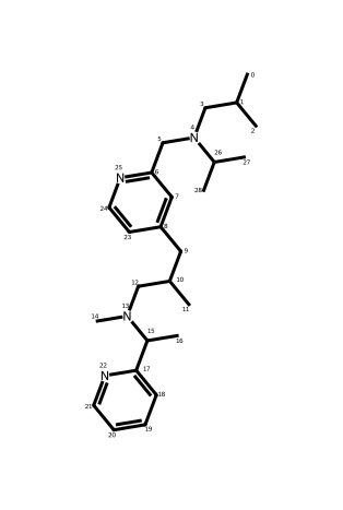 CC(C)CN(Cc1cc(CC(C)CN(C)C(C)c2ccccn2)ccn1)C(C)C